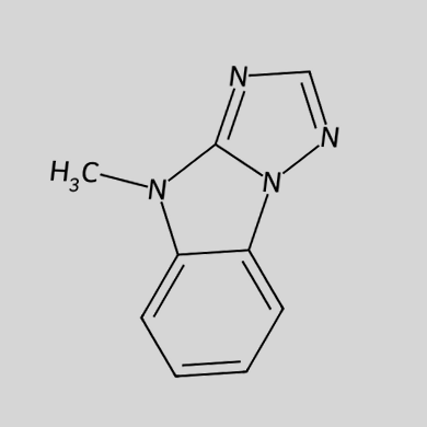 Cn1c2ccccc2n2ncnc12